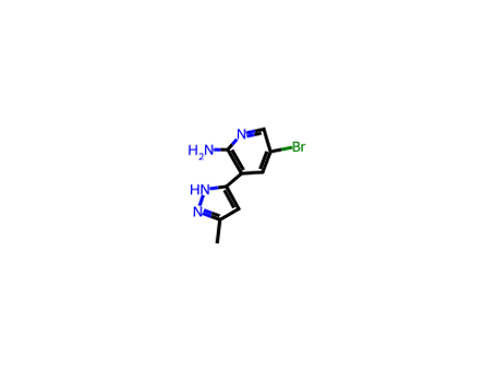 Cc1cc(-c2cc(Br)cnc2N)[nH]n1